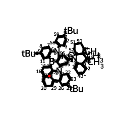 CC(C)(C)c1ccc(N2c3ccc(C(C)(C)C)cc3B3c4ccccc4N(c4ccc(C(C)(C)C)cc4-c4ccccc4)c4cc(N5c6ccccc6C(C)(C)C6(C)CCCCC56C)cc2c43)cc1